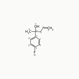 C=CCC(C)(O)c1ccc(F)cc1